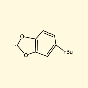 CCCCc1ccc2c(c1)O[CH]O2